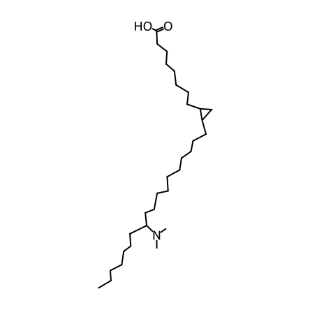 CCCCCCCC(CCCCCCCCCCC1CC1CCCCCCCC(=O)O)N(C)C